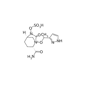 CC(O[N+]12C[C@@H](CC[C@H]1C(N)=O)N(OS(=O)(=O)O)C2=O)c1cc[nH]n1